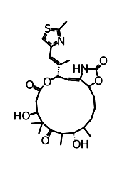 C/C(=C\c1csc(C)n1)[C@@H]1/C=C2\NC(=O)OC2CCCC(C)[C@H](O)C(C)C(=O)C(C)(C)C(O)CC(=O)O1